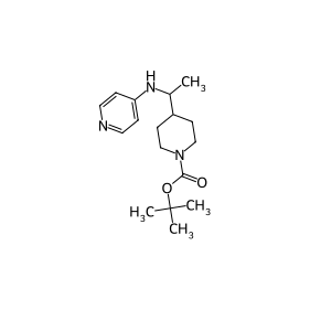 CC(Nc1ccncc1)C1CCN(C(=O)OC(C)(C)C)CC1